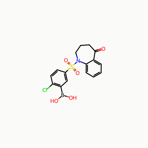 O=C1CCCN(S(=O)(=O)c2ccc(Cl)c(B(O)O)c2)c2ccccc21